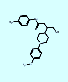 Cc1ccc(NC(=O)CC(CO)N2CCN(c3ccc(OC(F)(F)F)cc3)CC2)cc1